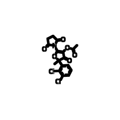 CC(=O)OC1=C(N2C(=O)CCC2=O)OC(C)(c2cccc(Cl)c2Cl)C1=O